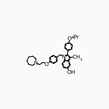 Cc1c(-c2ccc(OC(C)C)cc2)n(Cc2ccc(OCCN3CCCCCC3)cc2)c2ccc(O)cc12